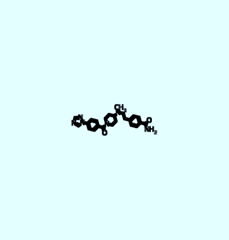 CN(CCc1ccc(C(N)=O)cc1)C1CCN(C(=O)c2ccc(-n3cncn3)cc2)CC1